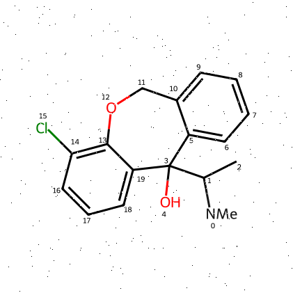 CNC(C)C1(O)c2ccccc2COc2c(Cl)cccc21